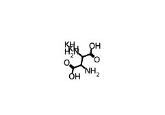 NC(C(=O)O)C(N)C(=O)O.[KH].[KH]